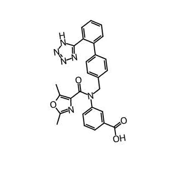 Cc1nc(C(=O)N(Cc2ccc(-c3ccccc3-c3nnn[nH]3)cc2)c2cccc(C(=O)O)c2)c(C)o1